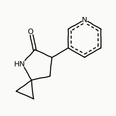 O=C1NC2(CC2)CC1c1cccnc1